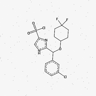 O=S(=O)(Cl)c1c[nH]c(C(OC2CCC(F)(F)CC2)c2cccc(Cl)c2)n1